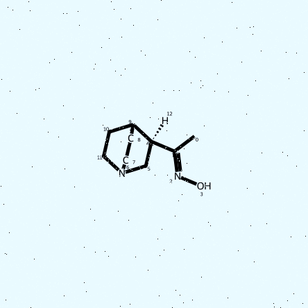 CC(=NO)[C@H]1CN2CCC1CC2